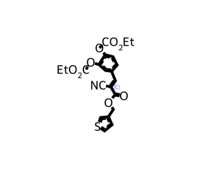 CCOC(=O)Oc1ccc(/C=C(\C#N)C(=O)OCc2ccsc2)cc1OC(=O)OCC